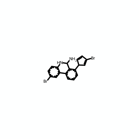 NC1Nc2ccc(Br)cc2-c2cccc(C3C=CC(Br)=C3)c21